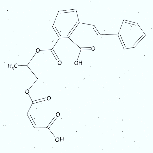 CC(COC(=O)/C=C\C(=O)O)OC(=O)c1cccc(C=Cc2ccccc2)c1C(=O)O